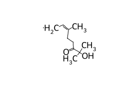 [CH2]C=C(C)CCC(=O)C(C)(C)O